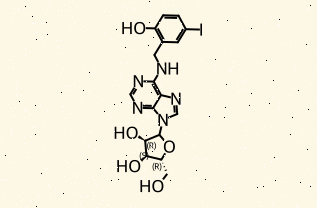 OC[C@H]1OC(n2cnc3c(NCc4cc(I)ccc4O)ncnc32)[C@H](O)[C@@H]1O